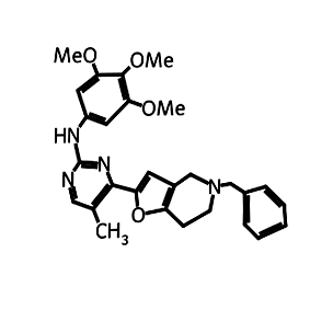 COc1cc(Nc2ncc(C)c(-c3cc4c(o3)CCN(Cc3ccccc3)C4)n2)cc(OC)c1OC